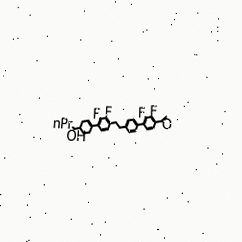 CCCC(O)C1CC=C(c2ccc(CCc3ccc(-c4ccc(C5CO5)c(F)c4F)cc3)c(F)c2F)CC1